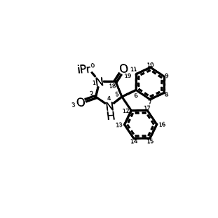 CC(C)N1C(=O)NC(c2ccccc2)(c2ccccc2)C1=O